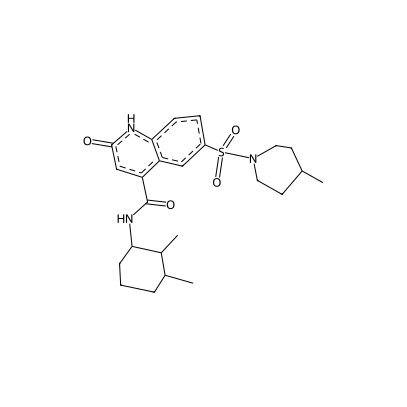 CC1CCN(S(=O)(=O)c2ccc3[nH]c(=O)cc(C(=O)NC4CCCC(C)C4C)c3c2)CC1